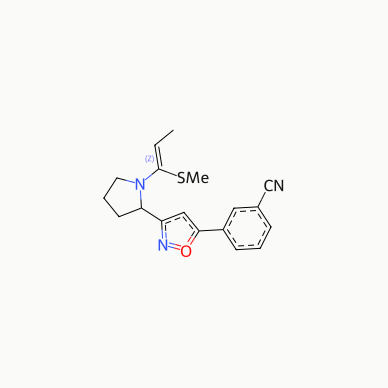 C/C=C(\SC)N1CCCC1c1cc(-c2cccc(C#N)c2)on1